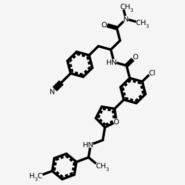 Cc1ccc(C(C)NCc2ccc(-c3ccc(Cl)c(C(=O)NC(CC(=O)N(C)C)Cc4ccc(C#N)cc4)c3)o2)cc1